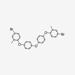 Cc1cc(Br)ccc1Oc1ccc(Oc2ccc(Oc3ccc(Br)cc3C)cc2)cc1